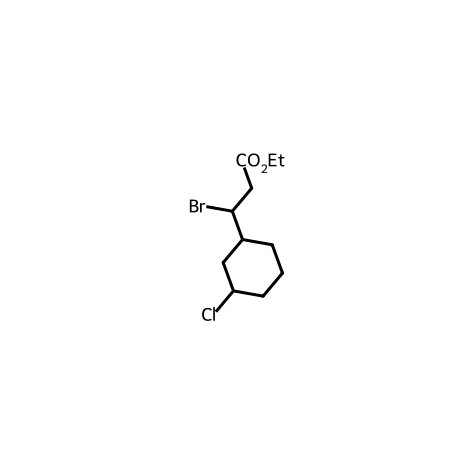 CCOC(=O)CC(Br)C1CCCC(Cl)C1